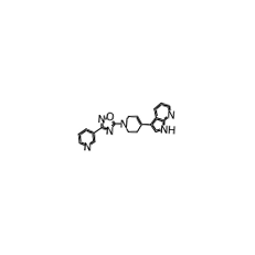 C1=C(c2c[nH]c3ncccc23)CCN(c2nc(-c3cccnc3)no2)C1